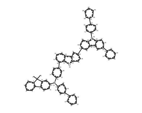 CC1(C)c2ccccc2-c2ccc(N(c3ccc(-c4ccccc4)cc3)c3ccc(-c4cccc5c4oc4ccc(-c6ccc7c(c6)c6cc(-c8ccccc8)ccc6n7-c6ccc(-c7ccccc7)cc6)cc45)cc3)cc21